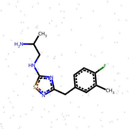 Cc1cc(Cc2nsc(NCC(C)N)n2)ccc1F